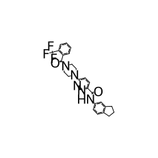 O=C(Nc1ccc2c(c1)CCC2)c1ccc(N2CCN(C(=O)c3ccccc3C(F)(F)F)CC2)nn1